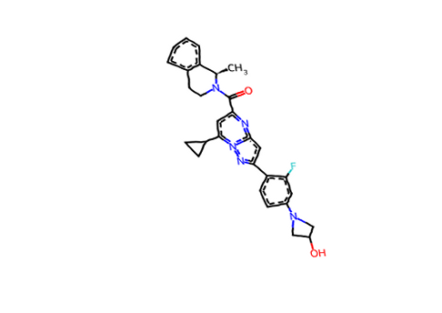 C[C@@H]1c2ccccc2CCN1C(=O)c1cc(C2CC2)n2nc(-c3ccc(N4CC(O)C4)cc3F)cc2n1